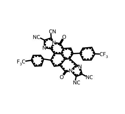 [C-]#[N+]c1nc2c3c(-c4ccc(C(F)(F)F)cc4)cc4c(=O)n5c(C#N)c(C#N)nc5c5c(-c6ccc(C(F)(F)F)cc6)cc(c(=O)n2c1[N+]#[C-])c3c45